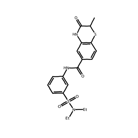 CCN(CC)S(=O)(=O)c1cccc(NC(=O)c2ccc3c(c2)NC(=O)C(C)S3)c1